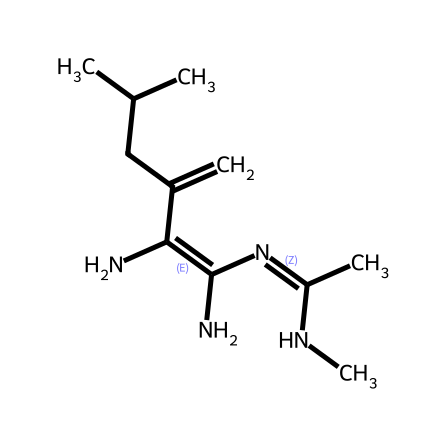 C=C(CC(C)C)/C(N)=C(N)\N=C(\C)NC